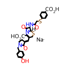 O=C(CSc1ccc(C(=O)O)cc1)N[C@@H]1C(=O)N2C(C(=O)O)=C(C=C3CCN(Cc4ccc(O)cc4)C3=O)CS[C@H]12.[Na]